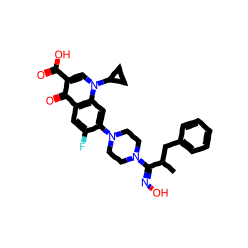 CC(Cc1ccccc1)/C(=N\O)N1CCN(c2cc3c(cc2F)c(=O)c(C(=O)O)cn3C2CC2)CC1